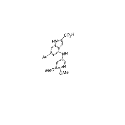 COc1cc(Nc2cc(C(C)=O)cc3[nH]c(C(=O)O)cc23)cnc1OC